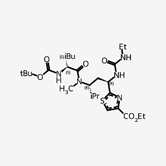 CCNC(=O)N[C@H](C[C@H](C(C)C)N(C)C(=O)[C@@H](NC(=O)OC(C)(C)C)[C@@H](C)CC)c1nc(C(=O)OCC)cs1